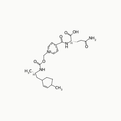 CC1C=CC(C[C@H](C)NC(=O)OC[n+]2ccc(C(=O)N[C@@H](CCC(N)=O)C(=O)O)cc2)CC1